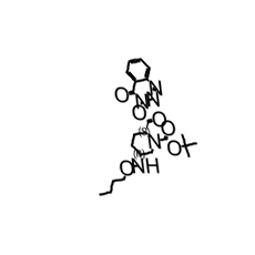 CCCCON[C@@H]1CC[C@@H](C(=O)On2nnc3ccccc3c2=O)N(C(=O)OC(C)(C)C)C1